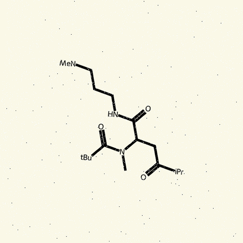 CNCCCNC(=O)C(CC(=O)C(C)C)N(C)C(=O)C(C)(C)C